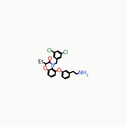 CCC1Oc2cccc(Oc3cccc(CCN)c3)c2N(Cc2cc(Cl)cc(Cl)c2)C1=O